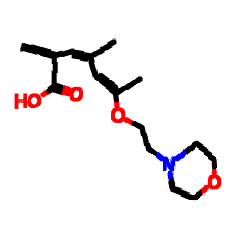 C=C(/C=C(C)\C=C(/C)OCCN1CCOCC1)C(=O)O